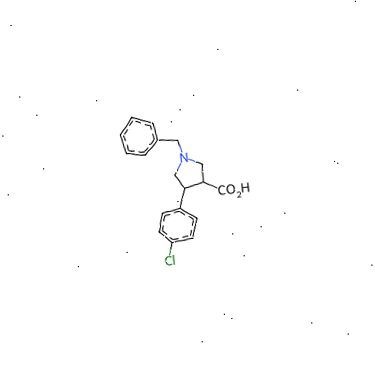 O=C(O)C1CN(Cc2ccccc2)CC1c1ccc(Cl)cc1